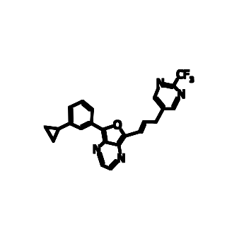 FC(F)(F)c1ncc(C/C=C/c2oc(-c3cccc(C4CC4)c3)c3nccnc23)cn1